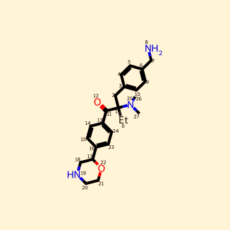 CCC(Cc1ccc(CN)cc1)(C(=O)c1ccc(C2CNCCO2)cc1)N(C)C